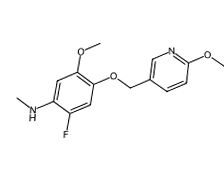 CNc1cc(OC)c(OCc2ccc(OC)nc2)cc1F